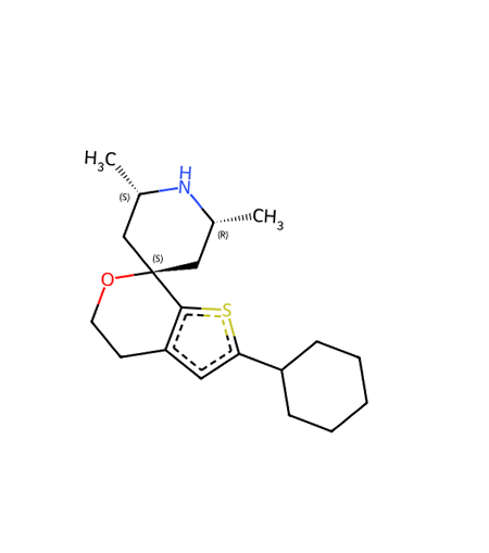 C[C@@H]1C[C@]2(C[C@H](C)N1)OCCc1cc(C3CCCCC3)sc12